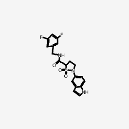 O=C(NCc1cc(F)cc(F)c1)C1CCN(c2ccc3[nH]ccc3c2)S1(=O)=O